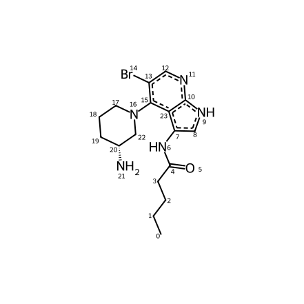 CCCCC(=O)Nc1c[nH]c2ncc(Br)c(N3CCC[C@@H](N)C3)c12